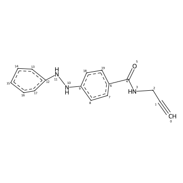 C#CCNC(=O)c1ccc(NNc2ccccc2)cc1